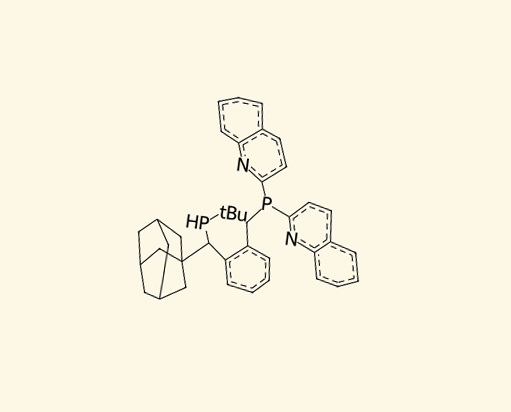 CC(C)(C)PC(c1ccccc1CP(c1ccc2ccccc2n1)c1ccc2ccccc2n1)C12CC3CC(CC(C3)C1)C2